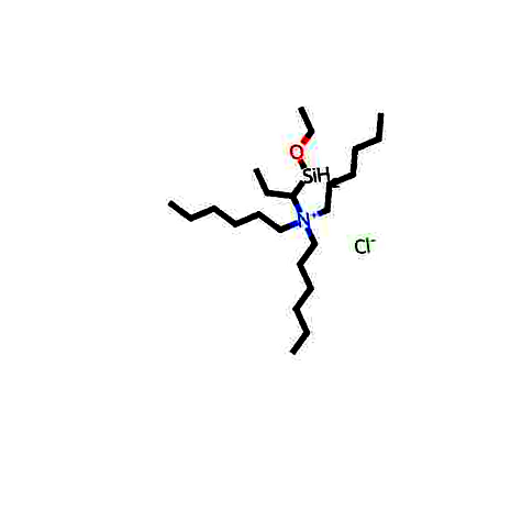 CCCCCC[N+](CCCCCC)(CCCCCC)C(CC)[SiH2]OCC.[Cl-]